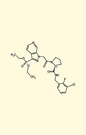 CCOP(=O)(OCC)c1nn(CC(=O)N2CCC[C@H]2C(=O)NCc2cccc(Cl)c2F)c2cnccc12